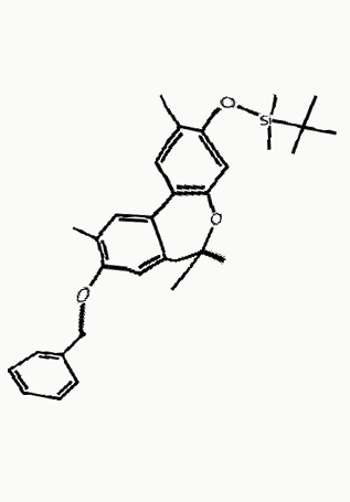 Cc1cc2c(cc1OCc1ccccc1)C(C)(C)Oc1cc(O[Si](C)(C)C(C)(C)C)c(C)cc1-2